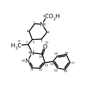 CC(C1CCN(C(=O)O)CC1)n1nccc(-c2ccccc2)c1=O